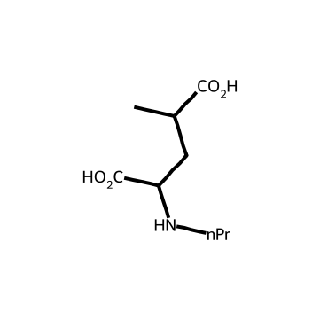 CCCNC(CC(C)C(=O)O)C(=O)O